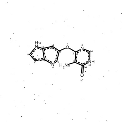 Nc1c(Oc2cnc3cc[nH]c3c2)nc[nH]c1=O